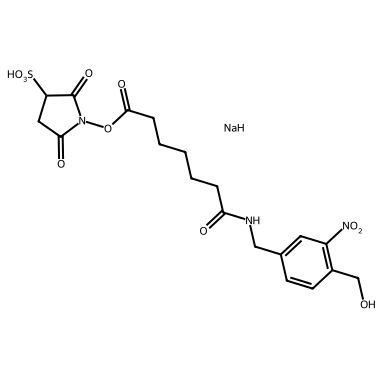 O=C(CCCCCC(=O)ON1C(=O)CC(S(=O)(=O)O)C1=O)NCc1ccc(CO)c([N+](=O)[O-])c1.[NaH]